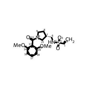 C=CS(=O)(=O)NC[C@H]1CCN(C(=O)c2c(OC)cccc2OC)C1